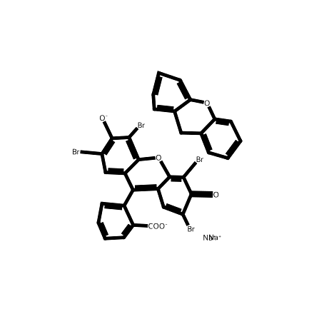 O=C([O-])c1ccccc1-c1c2cc(Br)c(=O)c(Br)c-2oc2c(Br)c([O-])c(Br)cc12.[Na+].[Na+].c1ccc2c(c1)Cc1ccccc1O2